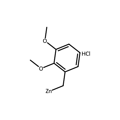 COc1cccc([CH2][Zn])c1OC.Cl